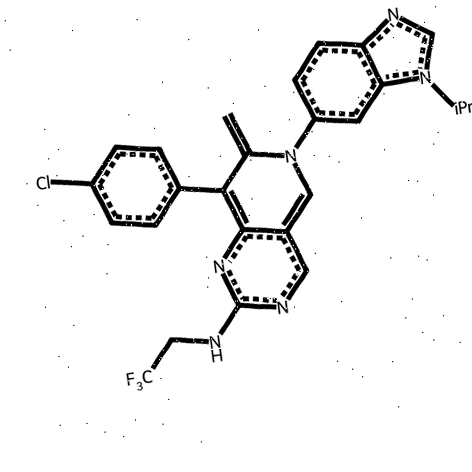 C=C1C(c2ccc(Cl)cc2)=c2nc(NCC(F)(F)F)ncc2=CN1c1ccc2ncn(C(C)C)c2c1